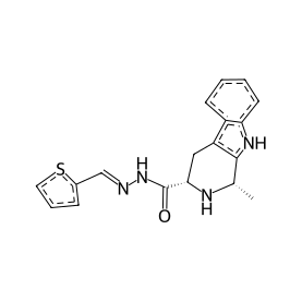 C[C@@H]1N[C@H](C(=O)N/N=C/c2cccs2)Cc2c1[nH]c1ccccc21